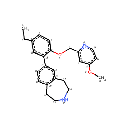 [CH2][CH]c1ccc(OCc2cc(OC)ccn2)c(-c2ccc3c(c2)CCNCC3)c1